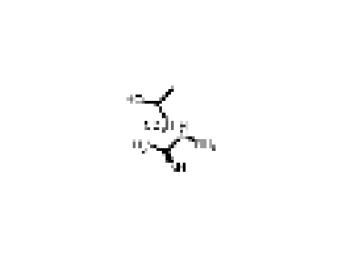 C[C@H](O)C(=O)O.N=C(N)NN